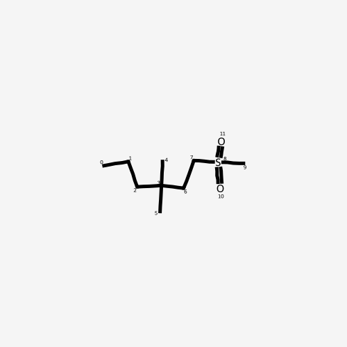 CCCC(C)(C)CCS(C)(=O)=O